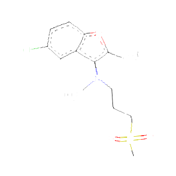 CCOC(=O)c1oc2ccc(Cl)cc2c1N(CCCS(C)(=O)=O)C(=O)OCC